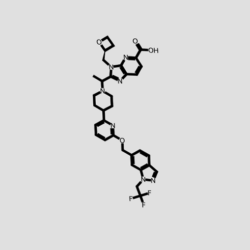 CC(c1nc2ccc(C(=O)O)nc2n1C[C@@H]1CCO1)N1CCC(c2cccc(OCc3ccc4cnn(CC(F)(F)F)c4c3)n2)CC1